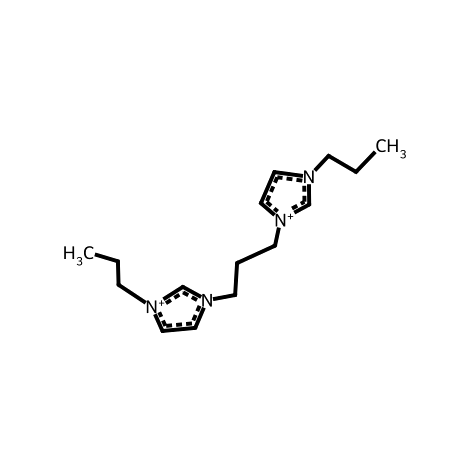 CCCn1cc[n+](CCCn2cc[n+](CCC)c2)c1